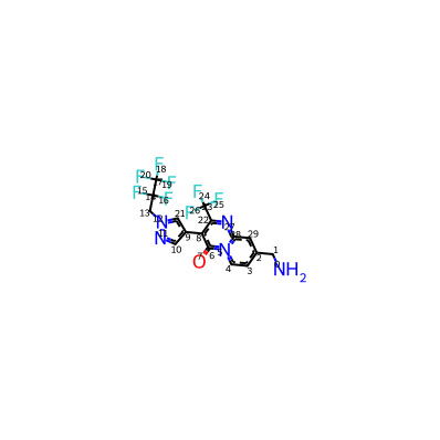 NCc1ccn2c(=O)c(-c3cnn(CC(F)(F)C(F)(F)F)c3)c(C(F)(F)F)nc2c1